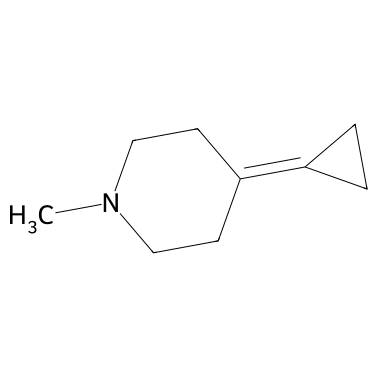 CN1CCC(=C2CC2)CC1